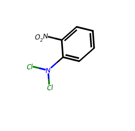 O=[N+]([O-])c1ccccc1N(Cl)Cl